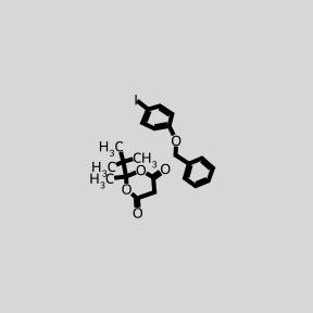 CC(C)(C)C1(C)OC(=O)CC(=O)O1.Ic1ccc(OCc2ccccc2)cc1